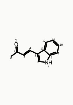 CC(=O)C=Cc1c[nH]c2ccccc12